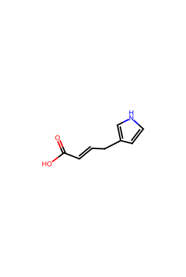 O=C(O)C=CCc1cc[nH]c1